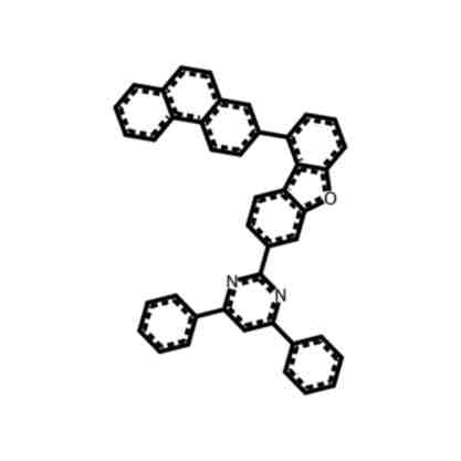 c1ccc(-c2cc(-c3ccccc3)nc(-c3ccc4c(c3)oc3cccc(-c5ccc6c(ccc7ccccc76)c5)c34)n2)cc1